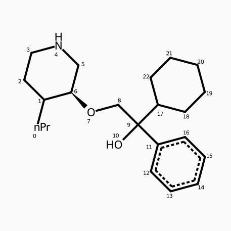 CCCC1CCNC[C@H]1OCC(O)(c1ccccc1)C1CCCCC1